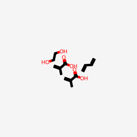 C=C(C)C(=O)O.C=C(C)C(=O)O.C=CC=C.OCCO